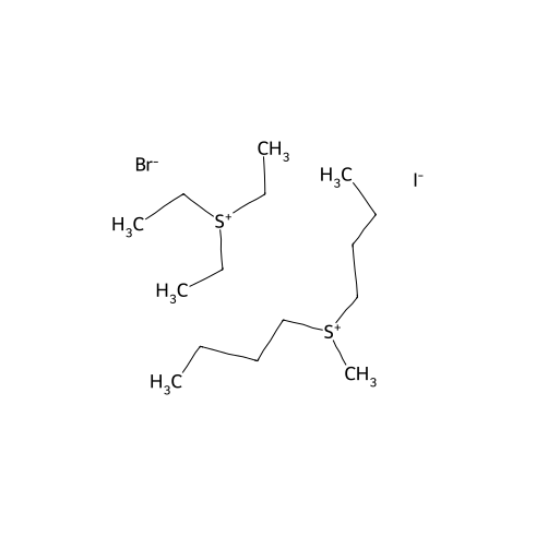 CCCC[S+](C)CCCC.CC[S+](CC)CC.[Br-].[I-]